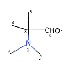 CN(C)C(C)(C)[C]=O